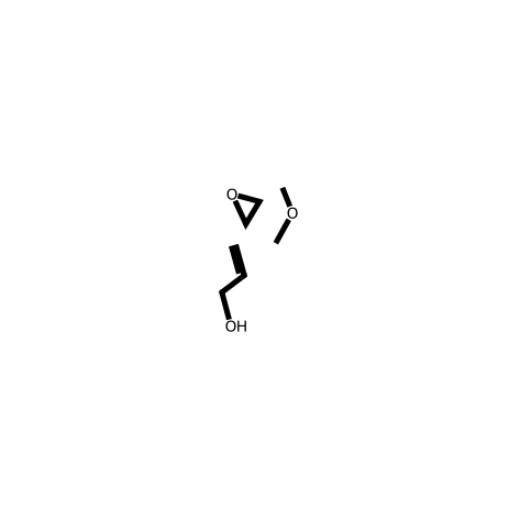 C1CO1.C=CCO.COC